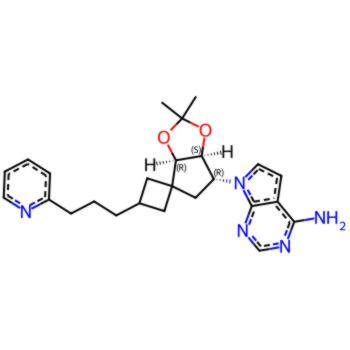 CC1(C)O[C@H]2[C@H](n3ccc4c(N)ncnc43)CC3(CC(CCCc4ccccn4)C3)[C@H]2O1